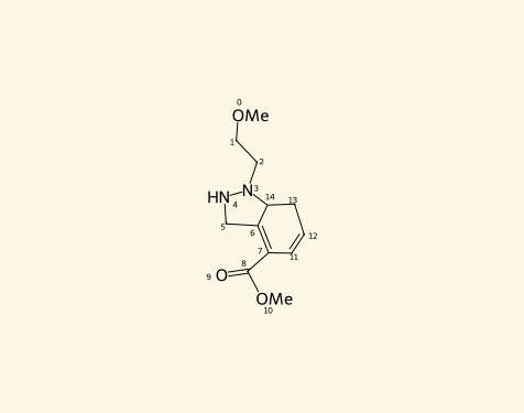 COCCN1NCC2=C(C(=O)OC)C=CCC21